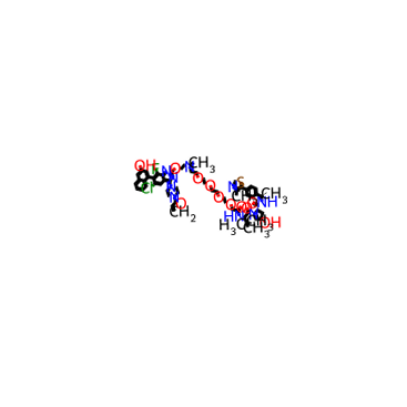 C=CC(=O)N1CCN(c2nc(OCCN(C)CCOCCOCCOCCOCC(=O)N[C@H](C(=O)N3C[C@H](O)C[C@H]3C(=O)N[C@@H](C)c3ccc(-c4scnc4C)cc3)C(C)(C)C)nc3c(F)c(-c4cc(O)cc5ccccc45)c(Cl)cc23)CC1